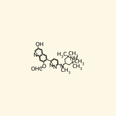 CN(c1ccc(-c2cc3cc(O)cnc3cc2OC=O)nn1)C1CC(C)(C)NC(C)(C)C1